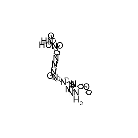 Nc1ncnc2c1c(-c1ccc(Oc3ccccc3)cc1)nn2C1CCCN(CC2CCN(C(=O)N3CCC(N4CCN(c5ccc6c(c5)CN(C5CCC(=O)NC5O)C6=O)CC4)CC3)CC2)C1